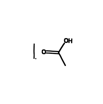 CC(=O)O.[CH2]C